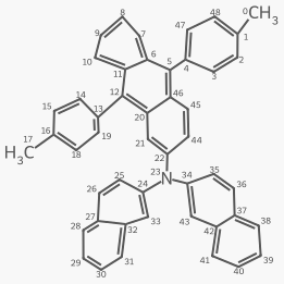 Cc1ccc(-c2c3ccccc3c(-c3ccc(C)cc3)c3cc(N(c4ccc5ccccc5c4)c4ccc5ccccc5c4)ccc23)cc1